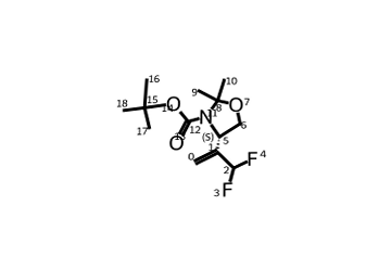 C=C(C(F)F)[C@H]1COC(C)(C)N1C(=O)OC(C)(C)C